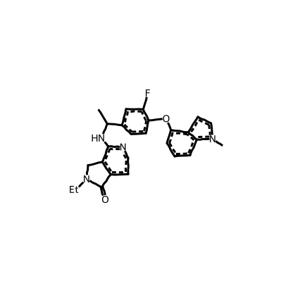 CCN1Cc2c(ccnc2NC(C)c2ccc(Oc3cccc4c3ccn4C)c(F)c2)C1=O